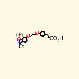 CCCc1c(OCCCOc2ccc(CCC(=O)O)cc2)ccc2c(CC)noc12